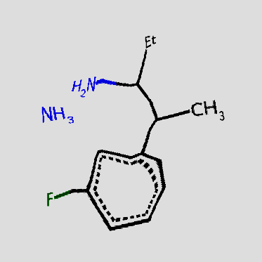 CCC(N)C(C)c1cccc(F)c1.N